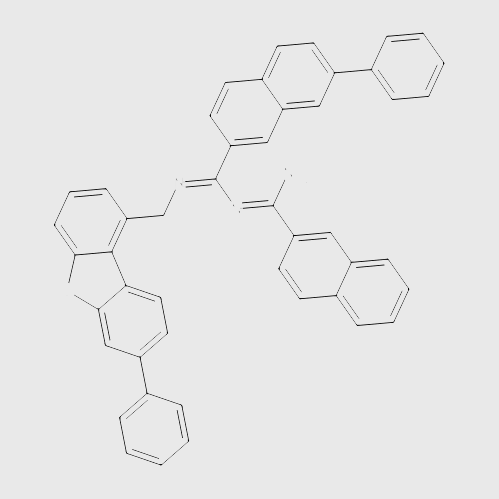 N/C(=N\C(=N/Cc1cccc2oc3cc(-c4ccccc4)ccc3c12)c1ccc2ccc(-c3ccccc3)cc2c1)c1ccc2ccccc2c1